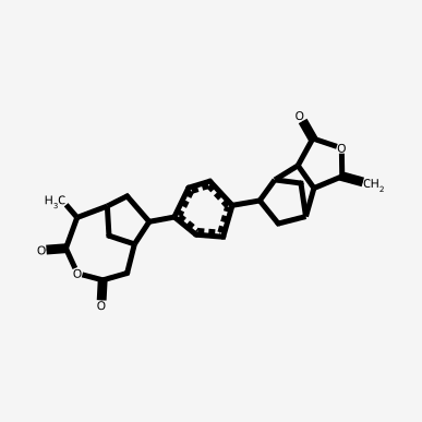 C=C1OC(=O)C2C3CC(CC3c3ccc(C4CC5CC4CC(=O)OC(=O)C5C)cc3)C12